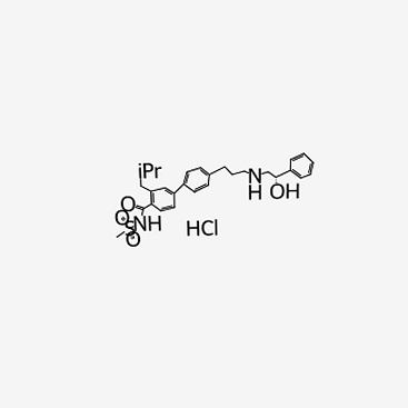 CC(C)Cc1cc(-c2ccc(CCCNC[C@@H](O)c3ccccc3)cc2)ccc1C(=O)NS(C)(=O)=O.Cl